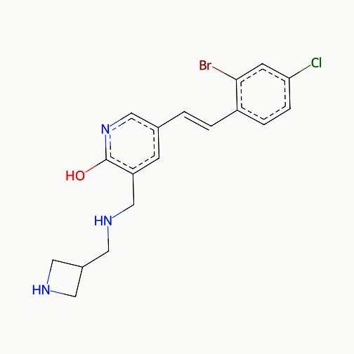 Oc1ncc(C=Cc2ccc(Cl)cc2Br)cc1CNCC1CNC1